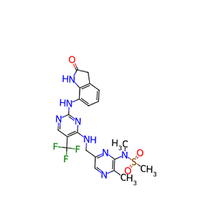 Cc1ncc(CNc2nc(Nc3cccc4c3NC(=O)C4)ncc2C(F)(F)F)nc1N(C)S(C)(=O)=O